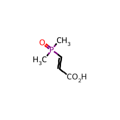 CP(C)(=O)C=CC(=O)O